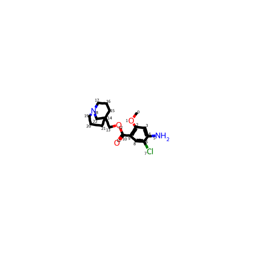 COc1cc(N)c(Cl)cc1C(=O)OCC12CCCN(CCC1)C2